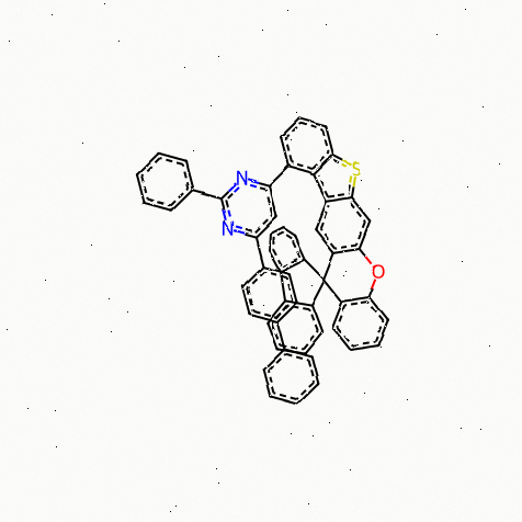 c1ccc(-c2ccc(-c3cc(-c4cccc5sc6cc7c(cc6c45)C4(c5ccccc5O7)c5ccccc5-c5ccccc54)nc(-c4ccccc4)n3)cc2)cc1